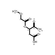 COCC(=O)OC(CC(=O)O)C(C)=O